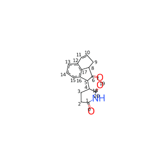 O=C1CCC(C2C(=O)C3CC=Cc4cccc2c43)C(=O)N1